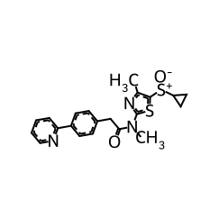 Cc1nc(N(C)C(=O)Cc2ccc(-c3ccccn3)cc2)sc1[S+]([O-])C1CC1